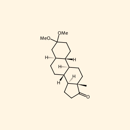 COC1(OC)CC[C@H]2[C@@H](CC[C@@H]3[C@@H]2CC[C@]2(C)C(=O)CC[C@@H]32)C1